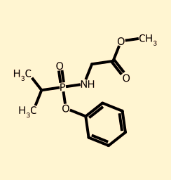 COC(=O)CNP(=O)(Oc1ccccc1)C(C)C